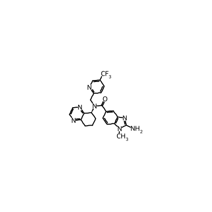 Cn1c(N)nc2cc(C(=O)N(Cc3ccc(C(F)(F)F)cn3)[C@H]3CCCc4nccnc43)ccc21